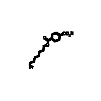 CC(C)CCCCCCCOC(=O)C1CCC(C(=O)O)CC1